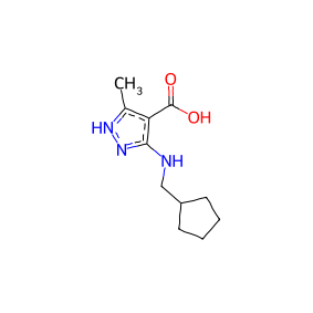 Cc1[nH]nc(NCC2CCCC2)c1C(=O)O